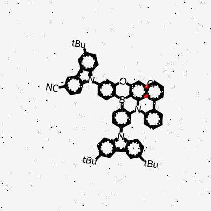 CC(C)(C)c1ccc2c(c1)c1cc(C#N)ccc1n2-c1ccc2c(c1)Oc1cc(Cl)cc3c1B2c1ccc(-n2c4ccc(C(C)(C)C)cc4c4cc(C(C)(C)C)ccc42)cc1N3c1ccccc1-c1ccccc1